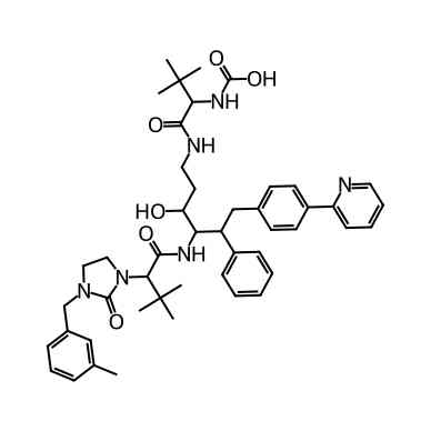 Cc1cccc(CN2CCN(C(C(=O)NC(C(O)CCNC(=O)C(NC(=O)O)C(C)(C)C)C(Cc3ccc(-c4ccccn4)cc3)c3ccccc3)C(C)(C)C)C2=O)c1